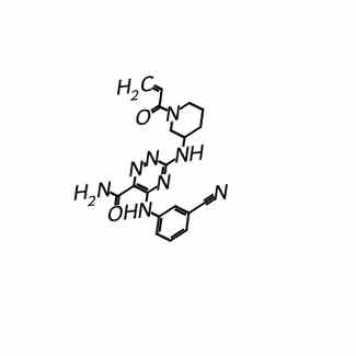 C=CC(=O)N1CCCC(Nc2nnc(C(N)=O)c(Nc3cccc(C#N)c3)n2)C1